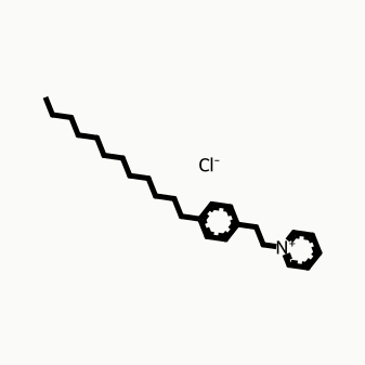 CCCCCCCCCCCCc1ccc(CC[n+]2ccccc2)cc1.[Cl-]